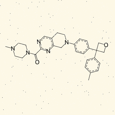 Cc1ccc(C2(c3ccc(N4CCc5cnc(C(=O)N6CCN(C)CC6)nc5C4)cc3)COC2)cc1